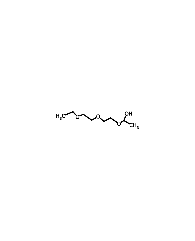 CCOCCOCCOC(C)O